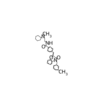 Cc1cccc(CN2C(=O)/C(=C/c3ccc(C(=O)NCCN(C)C4CCCCC4)cc3)Oc3ccccc32)c1